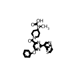 CN(C(=O)O)C1CCN(C(=O)c2cc(Oc3ccccc3)nc(-c3cnn4ccsc34)n2)CC1